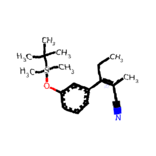 CC/C(=C(\C)C#N)c1cccc(O[Si](C)(C)C(C)(C)C)c1